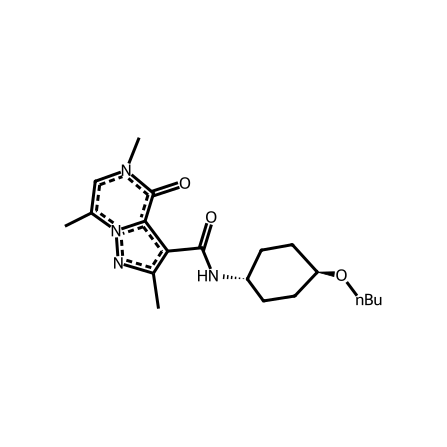 CCCCO[C@H]1CC[C@H](NC(=O)c2c(C)nn3c(C)cn(C)c(=O)c23)CC1